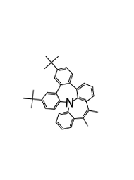 CC1=C(C)c2cccc3c2N(c2ccccc21)c1ccc(C(C)(C)C)cc1-c1cc(C(C)(C)C)ccc1-3